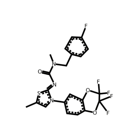 Cc1cn(-c2ccc3c(c2)OC(F)(F)C(F)(F)O3)c(=NC(=O)N(C)Cc2ccc(F)cc2)s1